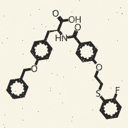 O=C(N[C@@H](Cc1ccc(OCc2ccccc2)cc1)C(=O)O)c1ccc(OCCSc2ccccc2F)cc1